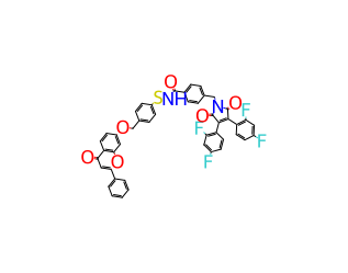 O=C(NSc1ccc(COc2ccc3c(=O)cc(-c4ccccc4)oc3c2)cc1)c1ccc(CN2C(=O)C(c3ccc(F)cc3F)=C(c3ccc(F)cc3F)C2=O)cc1